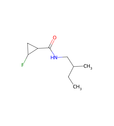 CCC(C)CNC(=O)C1CC1F